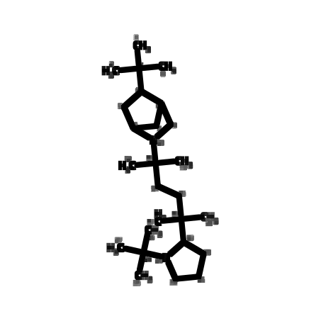 CC(C)(C)C1CC2CC1CN2C(C)(C)CCC(C)(C)C1CCCN1C(C)(C)C